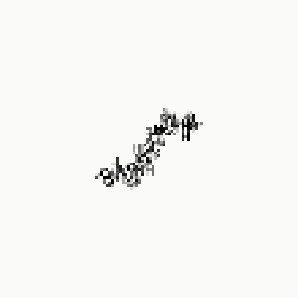 COC(=O)NCC(=O)N1CCC[C@H]1C(=O)Nc1ccc(NC(=O)c2ccc(NC(=O)[C@@H]3CCCN3C(=O)CNC(=O)OC)cc2)cc1